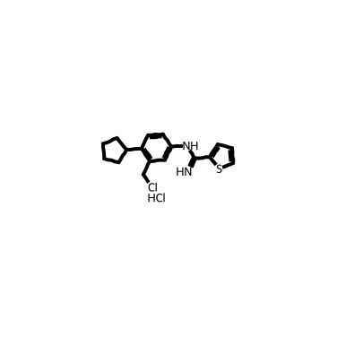 Cl.N=C(Nc1ccc(C2CCCC2)c(CCl)c1)c1cccs1